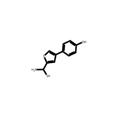 NC(S)c1cc(-c2ccc(O)cc2)cs1